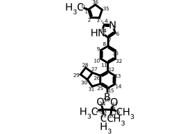 CC1=C[C@@H](c2ncc(-c3ccc(-c4ccc(B5OC(C)(C)C(C)(C)O5)c5c4C4CCC4C5)cc3)[nH]2)CC1